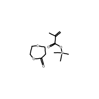 C=C(C)C(=O)O[Si](C)(C)C.O=C1CCCCCO1